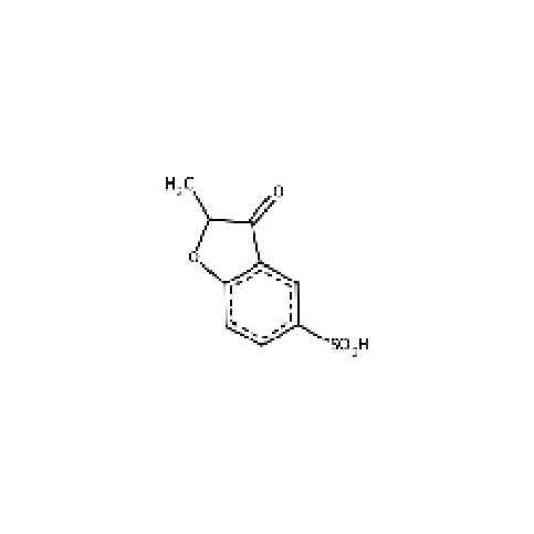 CC1Oc2ccc(S(=O)(=O)O)cc2C1=O